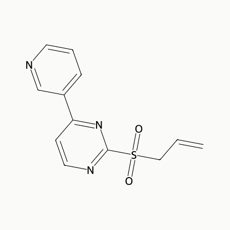 C=CCS(=O)(=O)c1nccc(-c2cccnc2)n1